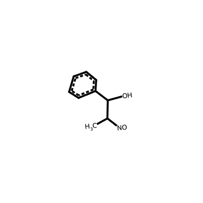 CC(N=O)C(O)c1ccccc1